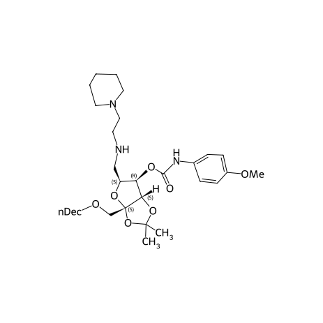 CCCCCCCCCCOC[C@@]12O[C@@H](CNCCN3CCCCC3)[C@@H](OC(=O)Nc3ccc(OC)cc3)[C@@H]1OC(C)(C)O2